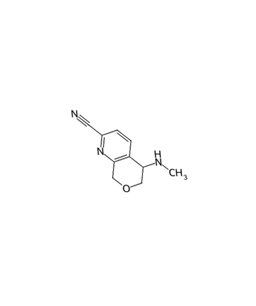 CNC1COCc2nc(C#N)ccc21